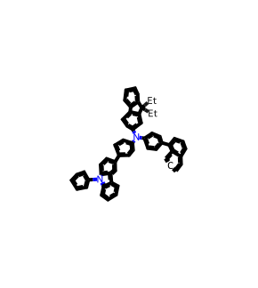 CCC1(CC)c2ccccc2-c2ccc(N(c3ccc(-c4ccc5c(c4)c4ccccc4n5-c4ccccc4)cc3)c3ccc(-c4cccc5ccccc45)cc3)cc21